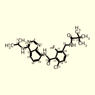 CC(C)Nc1ncnc2c(NC(=O)c3c(Cl)ccc(CNC(=O)C(C)(C)C)c3F)cccc12